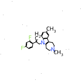 C=C(Cn1c2c(c3cc(C)ccc31)CCN(C)CC2)c1ccc(F)cc1F